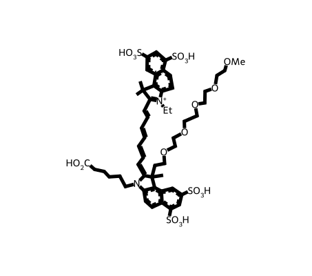 CC[N+]1=C(/C=C/C=C/C=C/C=C2/N(CCCCCC(=O)O)c3ccc4c(S(=O)(=O)O)cc(S(=O)(=O)O)cc4c3C2(C)CCOCCOCCOCCOCCOC)C(C)(C)c2c1ccc1c(S(=O)(=O)O)cc(S(=O)(=O)O)cc21